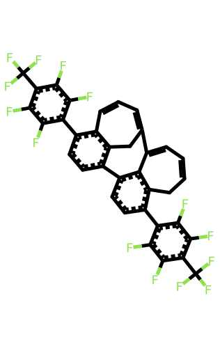 Fc1c(F)c(C(F)(F)F)c(F)c(F)c1-c1ccc2c3c1C=CC=C(C3)C1=CC=CCc3c(-c4c(F)c(F)c(C(F)(F)F)c(F)c4F)ccc-2c31